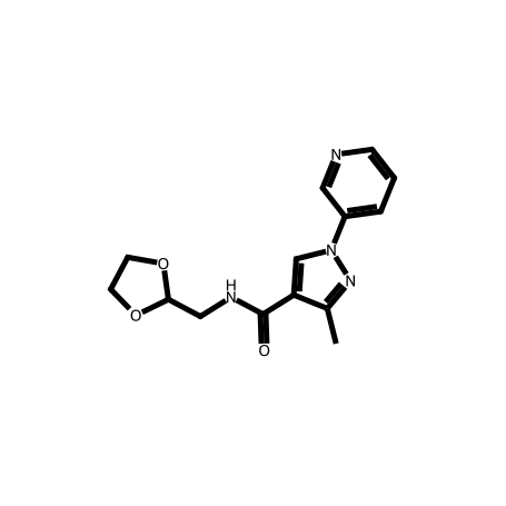 Cc1nn(-c2cccnc2)cc1C(=O)NCC1OCCO1